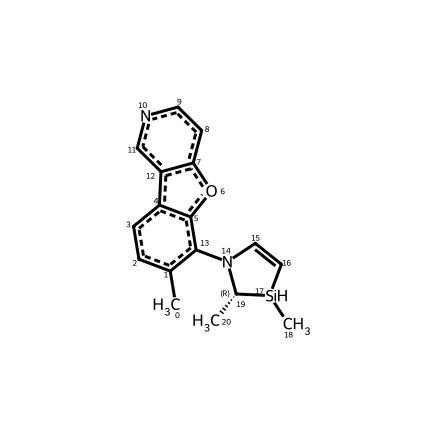 Cc1ccc2c(oc3ccncc32)c1N1C=C[SiH](C)[C@@H]1C